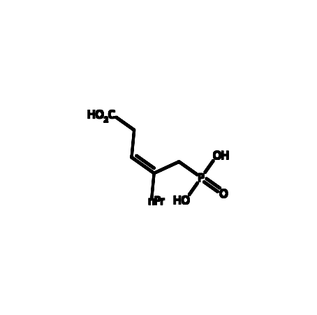 CCC/C(=C/CC(=O)O)CP(=O)(O)O